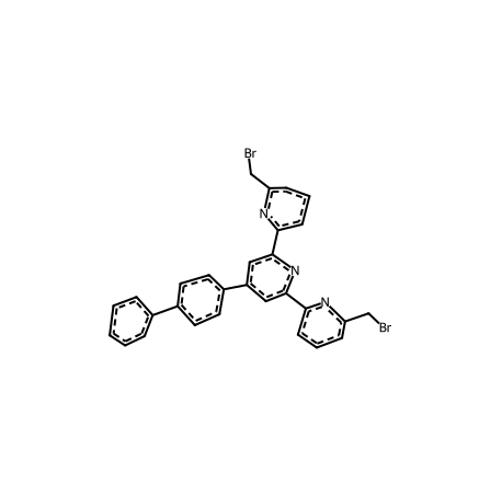 BrCc1cccc(-c2cc(-c3ccc(-c4ccccc4)cc3)cc(-c3cccc(CBr)n3)n2)n1